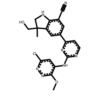 COc1nnc(Cl)cc1Nc1nccc(-c2cc(C#N)c3c(c2)C(C)(CO)CN3)n1